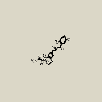 COc1ccc(Cl)cc1C(=O)NCCc1cc(SC)c(S(=O)(=O)NC(N)=O)s1